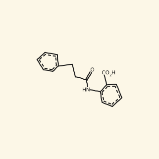 O=C(CCc1ccccc1)Nc1ccccc1C(=O)O